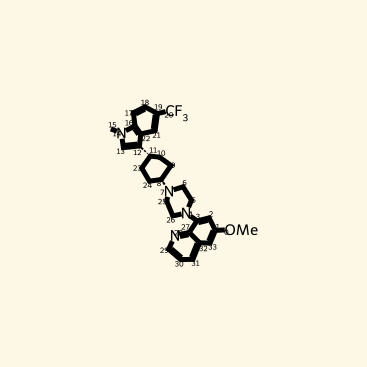 COc1cc(N2CCN([C@H]3CC[C@@H](c4cn(C)c5ccc(C(F)(F)F)cc54)CC3)CC2)c2ncccc2c1